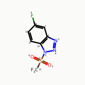 O=S(=O)(n1nnc2cc(F)ccc21)C(F)(F)F